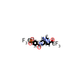 C[C@H]1Cn2c(C(=O)C(F)(F)F)ccc2C2(CCN(C(=O)c3ccc(S(=O)(=O)C(F)(F)F)cc3)CC2)N1C